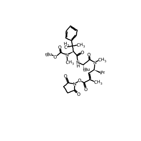 C/C(=C\[C@H](C(C)C)N(C)C(=O)[C@@H](NC(=O)[C@@H](N(C)C(=O)OC(C)(C)C)C(C)(C)c1ccccc1)C(C)(C)C)C(=O)ON1C(=O)CCC1=O